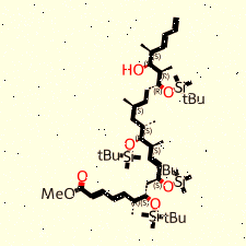 C=CC=C[C@H](C)[C@H](O)[C@@H](C)[C@@H](CC[C@H](C)C[C@H](C)[C@@H](O[Si](C)(C)C(C)(C)C)[C@@H](C)C=C[C@H](C[C@H](O[Si](C)(C)C(C)(C)C)[C@H](C)C=CC=CC(=O)OC)O[Si](C)(C)C(C)(C)C)O[Si](C)(C)C(C)(C)C